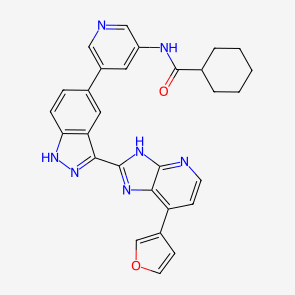 O=C(Nc1cncc(-c2ccc3[nH]nc(-c4nc5c(-c6ccoc6)ccnc5[nH]4)c3c2)c1)C1CCCCC1